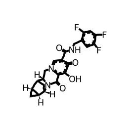 O=C(NCc1cc(F)c(F)cc1F)c1cn2c(c(O)c1=O)C(=O)N1[C@@H](C2)C2C[C@H]1[C@H]1C[C@@H]21